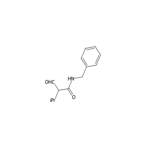 CC(C)C(C=O)C(=O)NCc1ccccc1